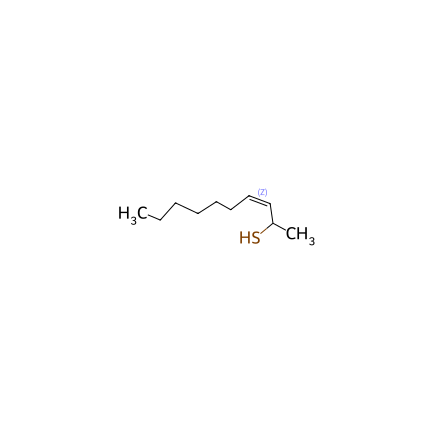 CCCCCC/C=C\C(C)S